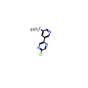 CCOC(=O)c1cncc(-c2cnc(Cl)cn2)c1